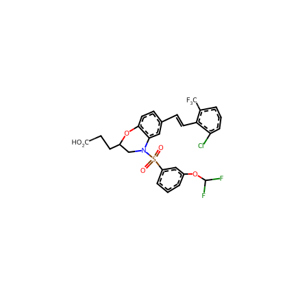 O=C(O)CCC1CN(S(=O)(=O)c2cccc(OC(F)F)c2)c2cc(C=Cc3c(Cl)cccc3C(F)(F)F)ccc2O1